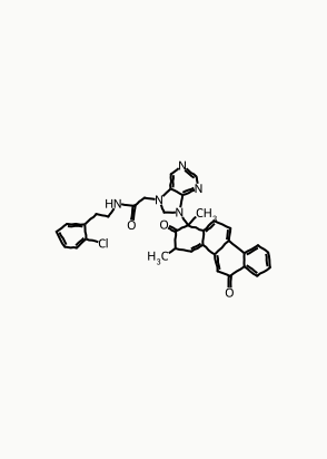 CC1C=c2c(ccc3c2=CC(=O)c2ccccc2-3)C(C)(N2CN(CC(=O)NCCc3ccccc3Cl)c3cncnc32)C1=O